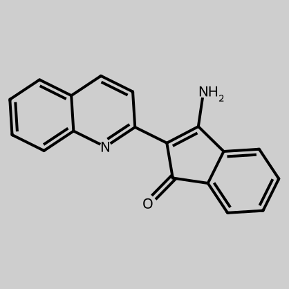 NC1=C(c2ccc3ccccc3n2)C(=O)c2ccccc21